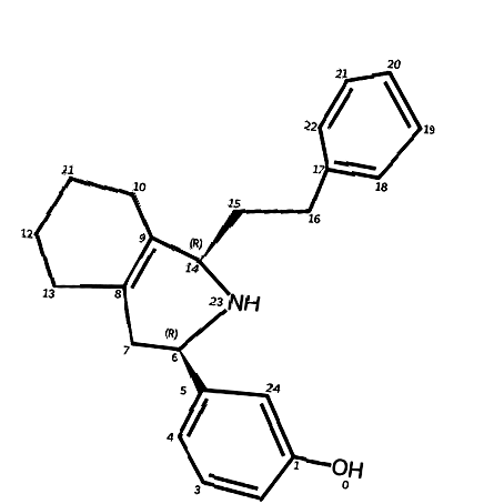 Oc1cccc([C@H]2CC3=C(CCCC3)[C@@H](CCc3ccccc3)N2)c1